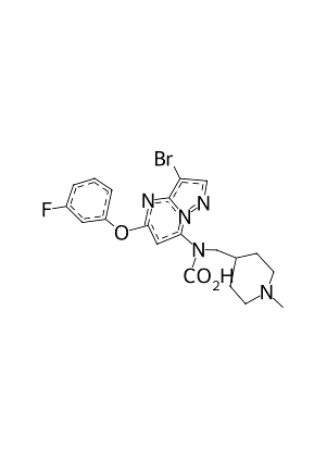 CN1CCC(CN(C(=O)O)c2cc(Oc3cccc(F)c3)nc3c(Br)cnn23)CC1